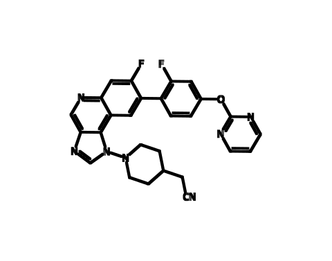 N#CCC1CCN(n2cnc3cnc4cc(F)c(-c5ccc(Oc6ncccn6)cc5F)cc4c32)CC1